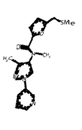 CSCc1ccc(C(=O)N(C)c2cn(-c3cccnc3)nc2C)o1